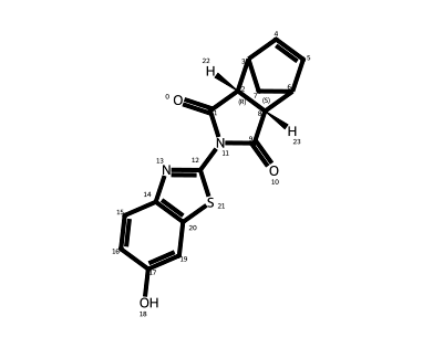 O=C1[C@@H]2C3C=CC(C3)[C@@H]2C(=O)N1c1nc2ccc(O)cc2s1